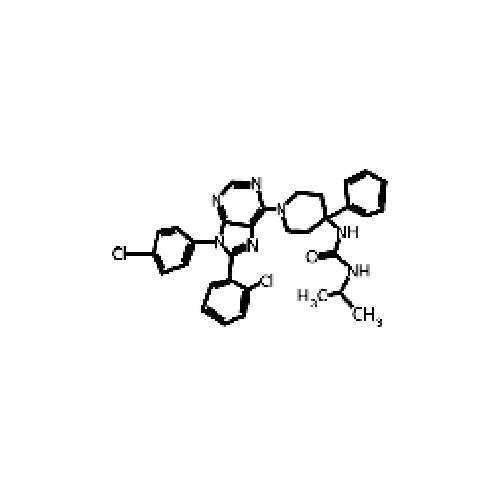 CC(C)NC(=O)NC1(c2ccccc2)CCN(c2ncnc3c2nc(-c2ccccc2Cl)n3-c2ccc(Cl)cc2)CC1